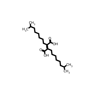 CC(C)CCCCCCC(C(=O)O)=C(CCCCCCC(C)C)C(=O)O